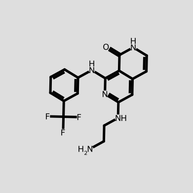 NCCNc1cc2cc[nH]c(=O)c2c(Nc2cccc(C(F)(F)F)c2)n1